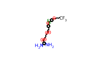 Nc1cc(N)cc(C(=O)OCCCCOC(=O)/C=C/c2ccc(OC(F)(F)c3ccc(OCCCCC(F)(F)F)cc3)cc2)c1